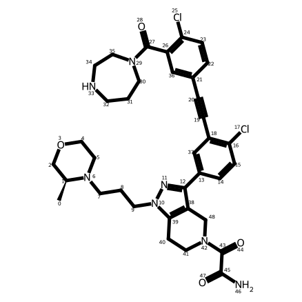 C[C@H]1COCCN1CCCn1nc(-c2ccc(Cl)c(C#Cc3ccc(Cl)c(C(=O)N4CCCNCC4)c3)c2)c2c1CCN(C(=O)C(N)=O)C2